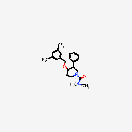 CN(C)C(=O)N1CCC(OCc2cc(C(F)(F)F)cc(C(F)(F)F)c2)C(c2ccccc2)C1